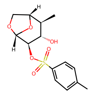 Cc1ccc(S(=O)(=O)O[C@H]2[C@@H]3OC[C@@H](O3)[C@@H](C)[C@@H]2O)cc1